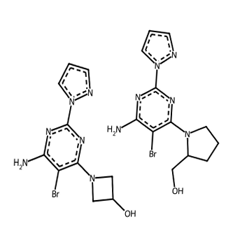 Nc1nc(-n2cccn2)nc(N2CC(O)C2)c1Br.Nc1nc(-n2cccn2)nc(N2CCCC2CO)c1Br